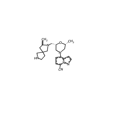 C=C1CC2(CCNC2)CN1C[C@H]1CN(c2ccc(C#N)n3nccc23)C[C@@H](C)O1